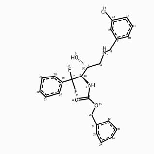 O=C(N[C@H]([C@H](O)CNCc1cccc(Cl)c1)C(F)(F)c1ccccc1)OCc1ccccc1